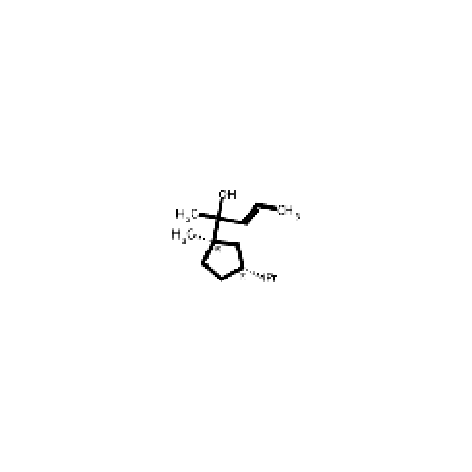 CC=CC(C)(O)[C@]1(C)CC[C@@H](C(C)C)C1